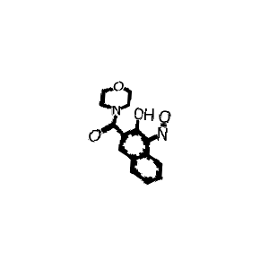 O=Nc1c(O)c(C(=O)N2CCOCC2)cc2ccccc12